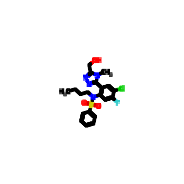 CCCCN(c1cc(F)c(Cl)cc1-c1nnc(CO)n1C)S(=O)(=O)c1ccccc1